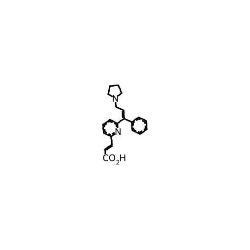 O=C(O)/C=C/c1cccc(/C(=C\CN2CCCC2)c2ccccc2)n1